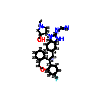 CN1C[C@H](O)[C@@H](n2/c(=N/C#N)[nH]c3cc(/C=C4\c5ccccc5COc5cc(F)ccc54)ccc32)C1